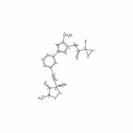 CCOC(=O)c1nn(-c2cccc(C#C[C@]3(O)CCN(C)C3=O)c2)cc1NC(=O)C1(F)CC1